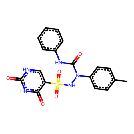 Cc1ccc(N(NS(=O)(=O)c2c[nH]c(=O)[nH]c2=O)C(=O)Nc2ccccc2)cc1